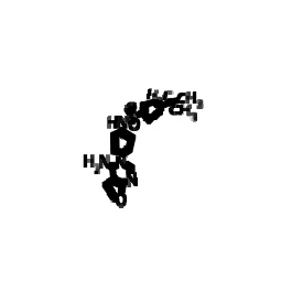 CC(C)(C)c1ccc(S(=O)(=O)Nc2ccc(N3C=Nc4occc4C3N)cc2)cc1